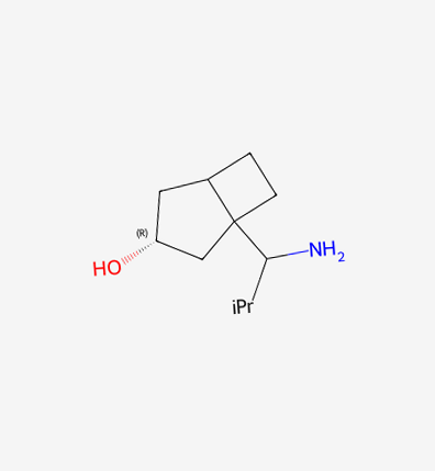 CC(C)C(N)C12CCC1C[C@@H](O)C2